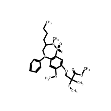 CCCCC1CN(c2ccccc2)c2cc(SC)c(OCC(C)(OC)C(=O)OC)cc2S(=O)(=O)N1C